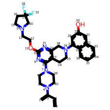 C=CC(=C)N1CCN(c2nc(OCCN3CCC(F)(F)C3)nc3c2CCN(c2cc(O)cc4ccccc24)C3)CC1